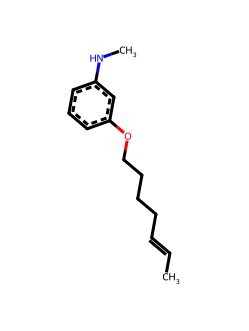 CC=CCCCCOc1cccc(NC)c1